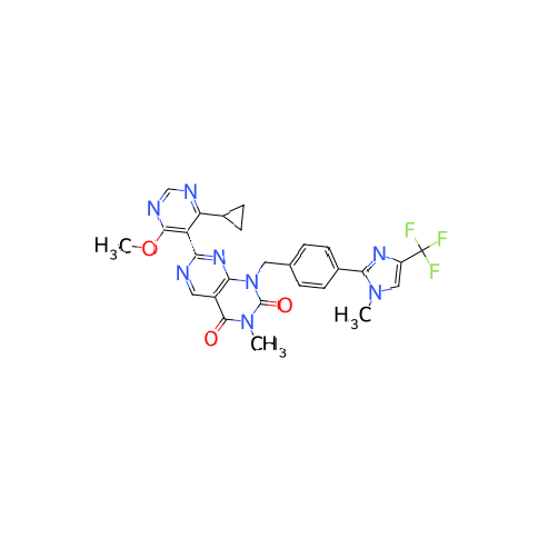 COc1ncnc(C2CC2)c1-c1ncc2c(=O)n(C)c(=O)n(Cc3ccc(-c4nc(C(F)(F)F)cn4C)cc3)c2n1